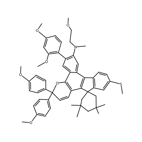 COCCN(C)c1cc2c3c(c4c(c2cc1-c1ccc(OC)cc1OC)OC(c1ccc(OC)cc1)(c1ccc(OC)cc1)C=C4)C1(CC(C)(C)CC(C)(C)C1)c1cc(SC)ccc1-3